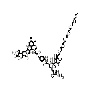 CCCCOCCOCCOCCOCCOCCOCCC(=O)N[C@H](C(=O)N[C@@H](CCCNC(N)=O)C(=O)Nc1ccc(OC(=O)N[C@H]2CCc3c(C)c(F)cc4nc5c(c2c34)Cn2c-5cc3c(c2=O)COC(=O)[C@]3(O)CC)cc1)C(C)C